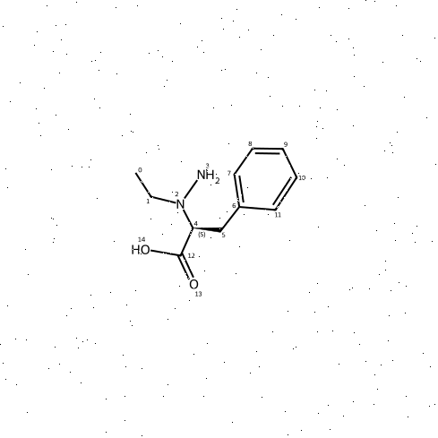 CCN(N)[C@@H](Cc1ccccc1)C(=O)O